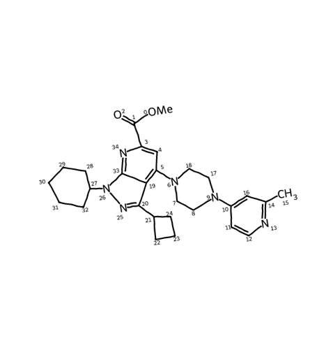 COC(=O)c1cc(N2CCN(c3ccnc(C)c3)CC2)c2c(C3CCC3)nn(C3CCCCC3)c2n1